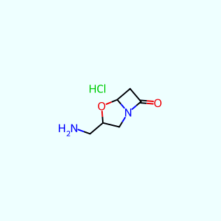 Cl.NCC1CN2C(=O)CC2O1